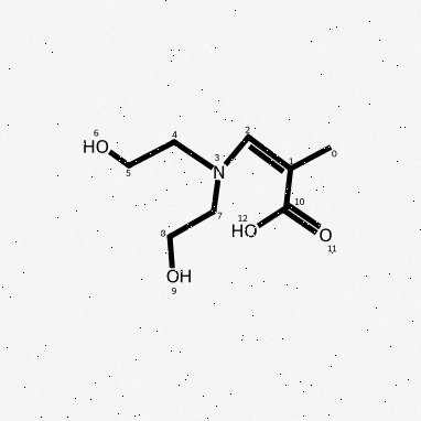 CC(=CN(CCO)CCO)C(=O)O